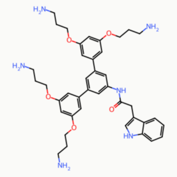 NCCCOc1cc(OCCCN)cc(-c2cc(NC(=O)Cc3c[nH]c4ccccc34)cc(-c3cc(OCCCN)cc(OCCCN)c3)c2)c1